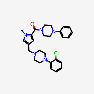 Cn1cc(CN2CCN(c3ccccc3Cl)CC2)cc1C(=O)N1CCN(c2ccccc2)CC1